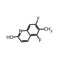 Cc1c(F)cc2nc(O)ccc2c1F